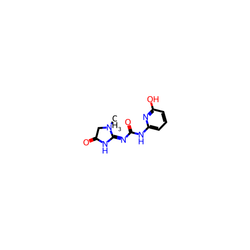 CN1CC(=O)NC1=NC(=O)Nc1cccc(O)n1